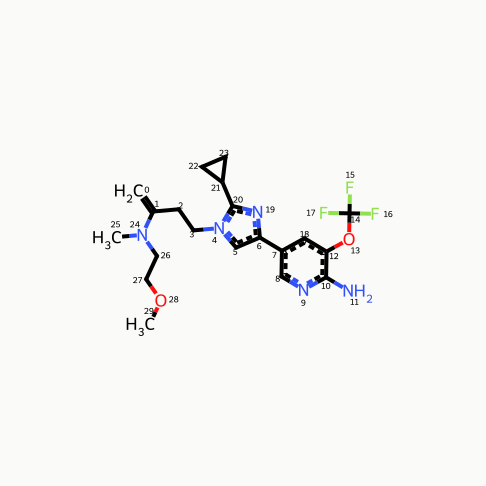 C=C(CCn1cc(-c2cnc(N)c(OC(F)(F)F)c2)nc1C1CC1)N(C)CCOC